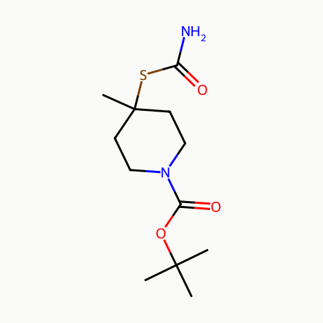 CC(C)(C)OC(=O)N1CCC(C)(SC(N)=O)CC1